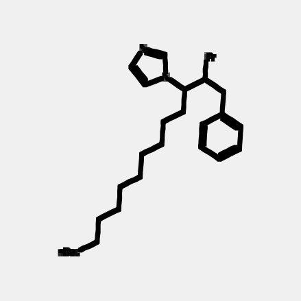 CCCCCCCCCCCCCCCCCCCC(C(Cc1ccccc1)C(C)C)n1ccnc1